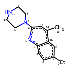 CCc1ccc2nc(N3CCNCC3)cc(C)c2c1